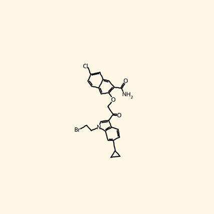 NC(=O)c1cc2cc(Cl)ccc2cc1OCC(=O)c1cn(CCBr)c2cc(C3CC3)ccc12